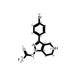 O=C(On1nc(-c2ccc(Br)cc2)c2c1CCNC2)C(F)(F)F